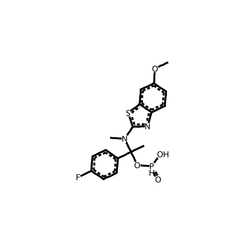 COc1ccc2nc(N(C)C(C)(O[PH](=O)O)c3ccc(F)cc3)sc2c1